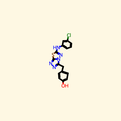 Oc1ccc(Cc2nnc3sc(Nc4cccc(Cl)c4)nn23)cc1